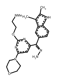 CNCCOc1nc(C(=NN)c2ccc3[nH]c(C)c(C)c3c2)cc(N2CCOCC2)n1